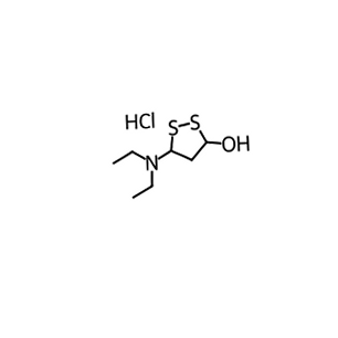 CCN(CC)C1CC(O)SS1.Cl